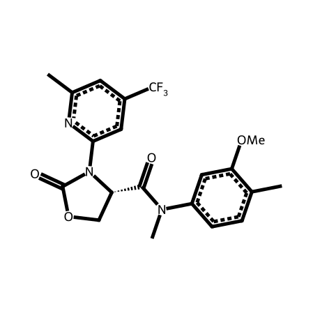 COc1cc(N(C)C(=O)[C@@H]2COC(=O)N2c2cc(C(F)(F)F)cc(C)n2)ccc1C